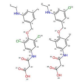 CCNc1cc(C)cc(COc2c(Cl)cc(NC(=O)CC(=O)O)cc2Cl)c1.CCNc1cc(Cl)cc(COc2c(C)cc(NC(=O)CC(=O)O)cc2C)c1